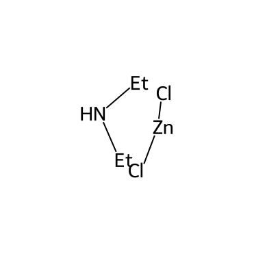 CCNCC.[Cl][Zn][Cl]